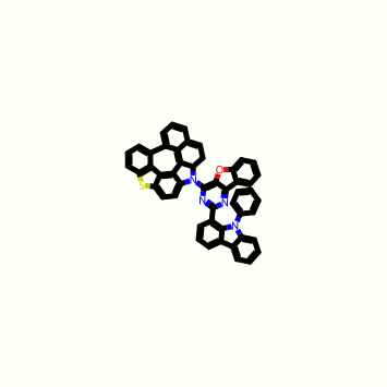 C1=c2cccc3c2=C2c4c(ccc5sc6cccc-3c6c45)N(c3nc(-c4cccc5c6ccccc6n(-c6ccccc6)c45)nc4c3oc3ccccc34)C2C1